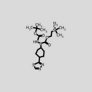 CC(C)(C)OC(=O)NN(C(=O)OCC[Si](C)(C)C)C1CCC(c2nncs2)CC1